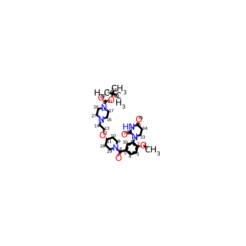 COc1ccc(C(=O)N2CCC(OCCN3CCN(C(=O)OC(C)(C)C)CC3)CC2)cc1N1CCC(=O)NC1=O